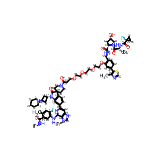 Cc1cc(F)c(Nc2nc(-c3ccc4c(c3)N([C@H]3C[C@@H](N5CCCCC5)C3)C(=O)C43CCN(C(=O)CCOCCOCCOCCOc4cc(-c5scnc5C)ccc4CNC(=O)[C@H]4C[C@H](O)CN4C(=O)[C@H](NC(=O)C4(F)CC4)C(C)(C)C)CC3)cc3ncn(C(C)C)c23)cc1C(=O)NC(C)C